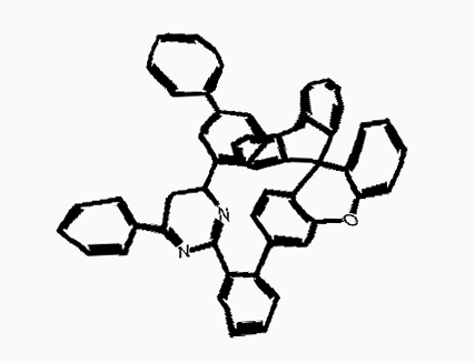 c1ccc(C2=NC(c3ccccc3-c3ccc4c(c3)Oc3ccccc3C43c4ccccc4-c4ccccc43)=NC(c3cccc(-c4ccccc4)c3)C2)cc1